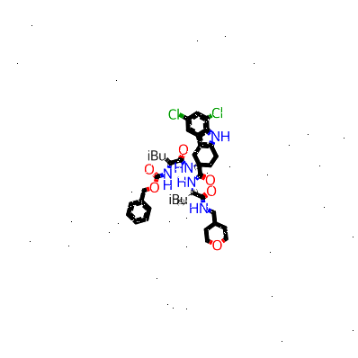 CCC(C)C(NC(=O)OCc1ccccc1)C(=O)N[C@@]1(C(=O)N[C@H](C(=O)NCC2CCOCC2)[C@@H](C)CC)CCc2[nH]c3c(Cl)cc(Cl)cc3c2C1